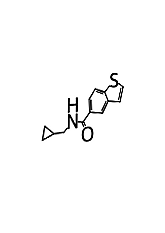 O=C(NCC1CC1)c1ccc2sccc2c1